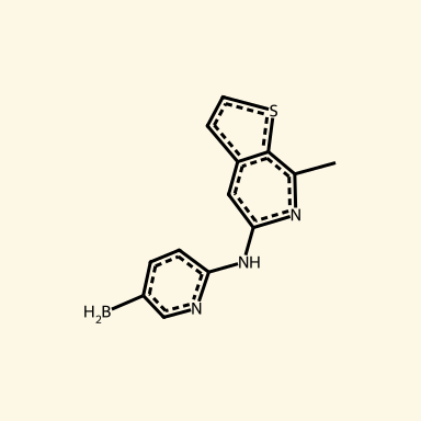 Bc1ccc(Nc2cc3ccsc3c(C)n2)nc1